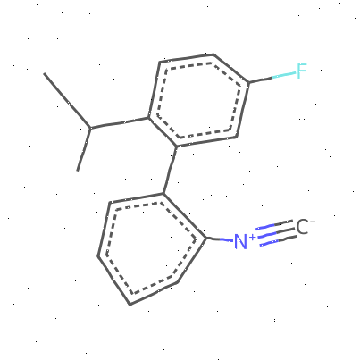 [C-]#[N+]c1ccccc1-c1cc(F)ccc1C(C)C